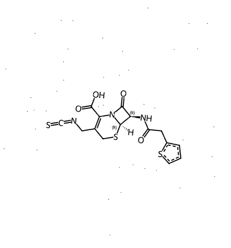 O=C(Cc1cccs1)N[C@@H]1C(=O)N2C(C(=O)O)=C(CN=C=S)CS[C@H]12